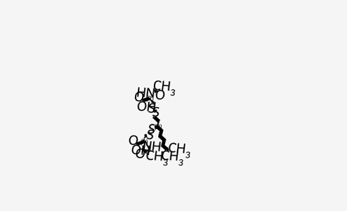 CC(=O)N[C@@H](CSSCC[C@@H](CCCCC(C)C)SSC[C@H](NC(C)=O)C(=O)O)C(=O)O